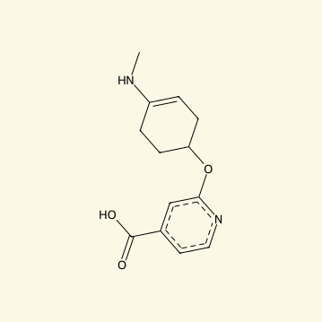 CNC1=CCC(Oc2cc(C(=O)O)ccn2)CC1